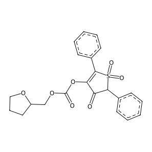 O=C(OCC1CCCO1)OC1=C(c2ccccc2)S(=O)(=O)C(c2ccccc2)C1=O